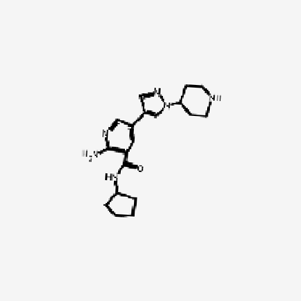 Nc1ncc(-c2cnn(C3CCNCC3)c2)cc1C(=O)NC1CCCC1